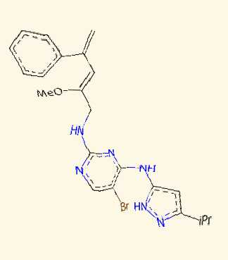 C=C(/C=C(/CNc1ncc(Br)c(Nc2cc(C(C)C)n[nH]2)n1)OC)c1ccccc1